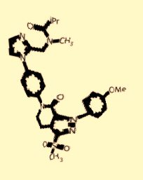 COc1ccc(-n2nc(S(C)(=O)=O)c3c2C(=O)N(c2ccc(-n4ccnc4CN(C)C(=O)C(C)C)cc2)CC3)cc1